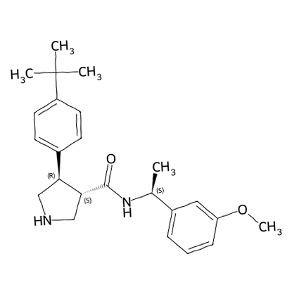 COc1cccc([C@H](C)NC(=O)[C@@H]2CNC[C@H]2c2ccc(C(C)(C)C)cc2)c1